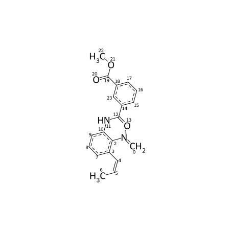 C=Nc1c(/C=C\C)cccc1NC(=O)c1cccc(C(=O)OC)c1